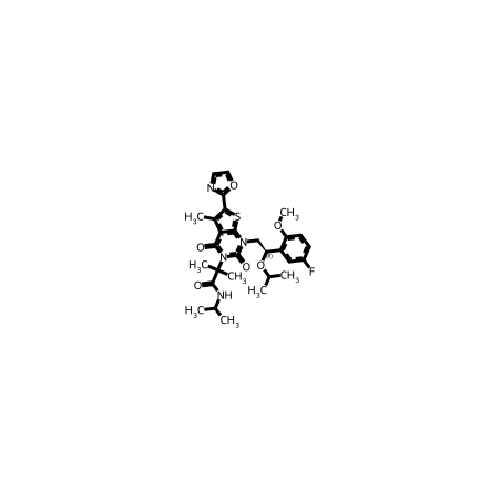 COc1ccc(F)cc1[C@H](Cn1c(=O)n(C(C)(C)C(=O)NC(C)C)c(=O)c2c(C)c(-c3ncco3)sc21)OC(C)C